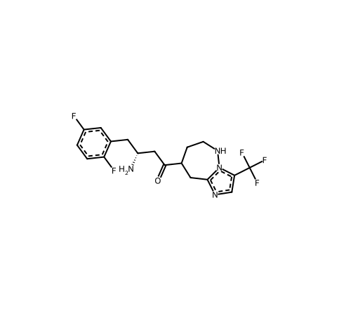 N[C@@H](CC(=O)C1CCNn2c(C(F)(F)F)cnc2C1)Cc1cc(F)ccc1F